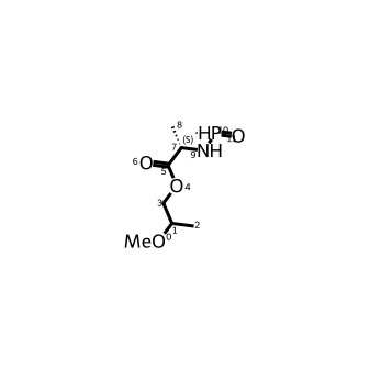 COC(C)COC(=O)[C@H](C)N[PH]=O